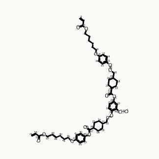 C=CC(=O)OCCCCCCOc1ccc(OOCC2CCC(C(=O)Oc3ccc(OOCC4CCC(C(=O)Oc5ccc(OCCCCCCOC(=O)C=C)cc5)CC4)c(C=O)c3)CC2)cc1